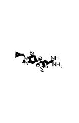 CSc1sc(C(=N)N)cc1S(=O)(=O)c1cc(Br)c2c(c1)ncn2CC1CC1